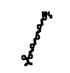 CC(C)C(=O)OCCOCCOCCOCCON